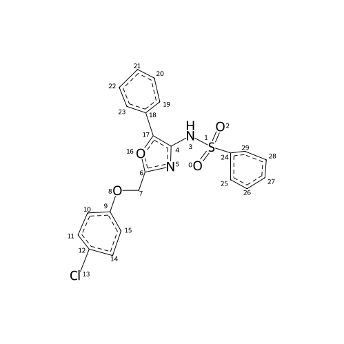 O=S(=O)(Nc1nc(COc2ccc(Cl)cc2)oc1-c1ccccc1)c1ccccc1